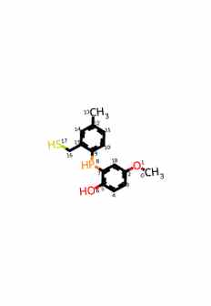 COc1ccc(O)c(Pc2ccc(C)cc2CS)c1